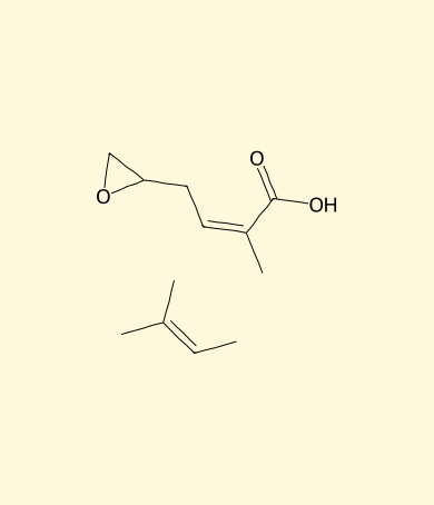 CC(=CCC1CO1)C(=O)O.CC=C(C)C